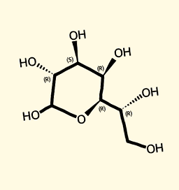 OC[C@@H](O)[C@H]1OC(O)[C@H](O)[C@@H](O)[C@H]1O